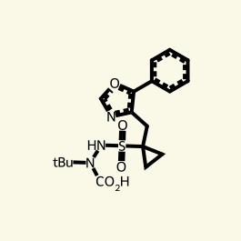 CC(C)(C)N(NS(=O)(=O)C1(Cc2ncoc2-c2ccccc2)CC1)C(=O)O